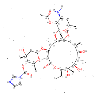 CC[C@H]1OC(=O)[C@H](C)[C@@H](OC2C[C@@](C)(O)[C@@H](OC(=O)n3ccnc3)[C@H](C)O2)[C@H](C)[C@@H](OC2O[C@H](C)C[C@H](N(C)C)[C@H]2OC(C)=O)[C@](C)(OC)C[C@@H](C)C(=O)[C@H](C)[C@@H](O)[C@]1(C)O